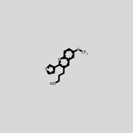 OCCCc1cc2cc(SC(F)(F)F)ccc2nc1-c1ccsc1